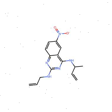 C=CCNc1nc(NC(C)C=C)c2cc([N+](=O)[O-])ccc2n1